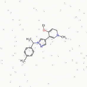 CCOC1=CCN(C)C=C1c1cnn(C(C)c2ccc(C)cc2)c1